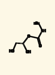 CCCCNC(=O)OC(O)CO